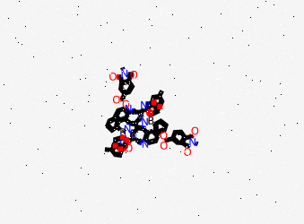 Cc1ccc2oc(/C(C#N)=c3/c4c(-c5cccc(OC(=O)c6ccc7c(c6)C(=O)N(C)C7=O)c5)n(B(c5ccccc5)c5ccccc5)/c(=C(/C#N)c5nc6cc(C)ccc6o5)c4c(-c4cccc(OC(=O)c5ccc6c(c5)C(=O)N(C)C6=O)c4)n3B(c3ccccc3)c3ccccc3)nc2c1